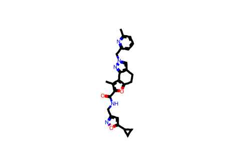 Cc1cccc(Cn2cc3c(n2)-c2c(oc(C(=O)NCc4cc(C5CC5)on4)c2C)CC3)n1